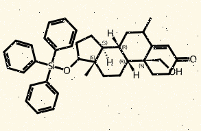 CC1C[C@@H]2[C@@H](CC[C@]3(C)C(O[Si](c4ccccc4)(c4ccccc4)c4ccccc4)CC[C@@H]23)[C@@]2(CO)CCC(=O)C=C12